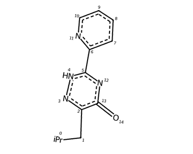 CC(C)Cc1n[nH]c(-c2ccccn2)nc1=O